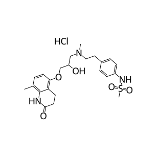 Cc1ccc(OCC(O)CN(C)CCc2ccc(NS(C)(=O)=O)cc2)c2c1NC(=O)CC2.Cl